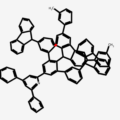 Cc1cccc(-c2ccc3c(c2)-c2cc(-c4cccc(C)c4)ccc2C3c2c(-c3cccc(C4c5ccccc5-c5ccccc54)c3)cc(-c3cc(-c4ccccc4)cc(-c4ccccc4)n3)cc2-c2cccc(C3c4ccccc4-c4ccccc43)c2)c1